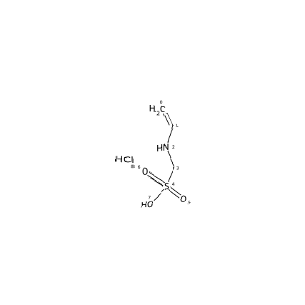 C=CNCS(=O)(=O)O.Cl